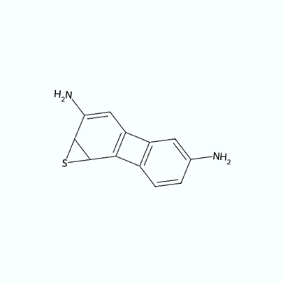 NC1=CC2=C(c3ccc(N)cc32)C2SC12